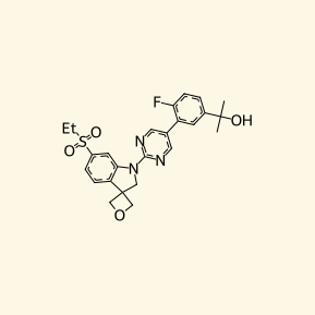 CCS(=O)(=O)c1ccc2c(c1)N(c1ncc(-c3cc(C(C)(C)O)ccc3F)cn1)CC21COC1